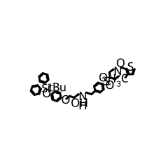 Cc1ccsc1C(=O)N1CCC(S(=O)(=O)c2ccc(CCNC[C@H](O)COc3ccc(O[Si](c4ccccc4)(c4ccccc4)C(C)(C)C)cc3)cc2)CC1